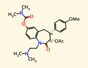 COc1ccc([C@H]2Cc3cc(OC(=O)N(C)C)ccc3N(CCN(C)C)C(=O)[C@H]2OC(C)=O)cc1